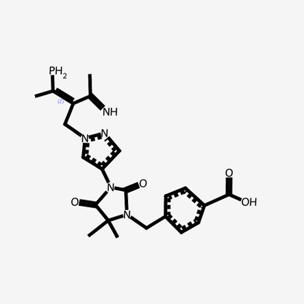 CC(=N)/C(Cn1cc(N2C(=O)N(Cc3ccc(C(=O)O)cc3)C(C)(C)C2=O)cn1)=C(/C)P